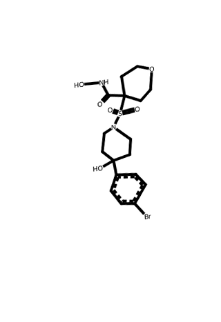 O=C(NO)C1(S(=O)(=O)N2CCC(O)(c3ccc(Br)cc3)CC2)CCOCC1